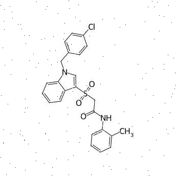 Cc1ccccc1NC(=O)CS(=O)(=O)c1cn(Cc2ccc(Cl)cc2)c2ccccc12